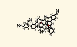 N#Cc1ccc(-c2ccc3c(c2)c2ccccc2n3-c2cncc(-n3c4ccccc4c4cc(-c5ccc(C#N)cc5C#N)ccc43)c2-c2ccccc2C#N)c(C#N)c1